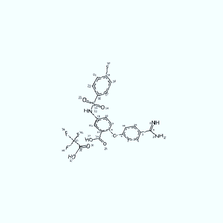 N=C(N)c1ccc(Oc2ccc(NS(=O)(=O)c3ccc(F)cc3)cc2C(=O)O)cc1.O=C(O)C(F)(F)F